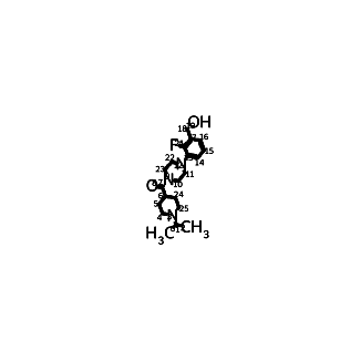 CC(C)N1CCC(C(=O)N2CCN(c3cccc(CO)c3F)CC2)CC1